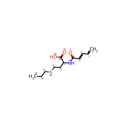 C=CC=CC(=O)NC(CCSCCC)C(=O)O